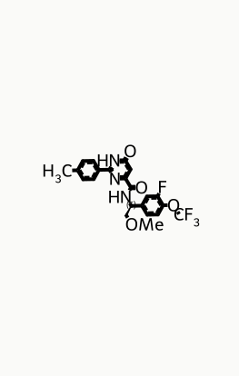 COC[C@@H](NC(=O)c1cc(=O)[nH]c(-c2ccc(C)cc2)n1)c1ccc(OC(F)(F)F)c(F)c1